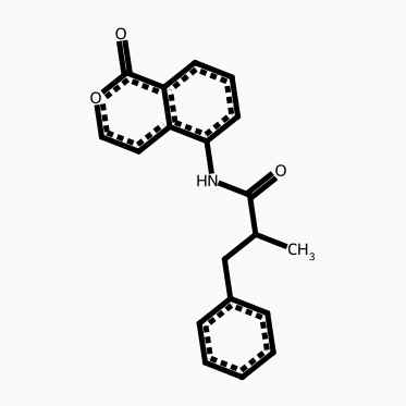 CC(Cc1ccccc1)C(=O)Nc1cccc2c(=O)occc12